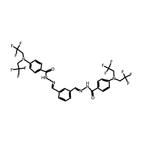 O=C(N/N=C/c1cccc(/C=N/NC(=O)c2ccc(N(CC(F)(F)F)CC(F)(F)F)cc2)c1)c1ccc(N(CC(F)(F)F)CC(F)(F)F)cc1